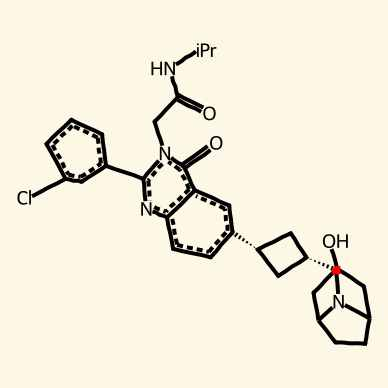 CC(C)NC(=O)Cn1c(-c2cccc(Cl)c2)nc2ccc([C@H]3C[C@@H](CN4C5CCC4CC(O)C5)C3)cc2c1=O